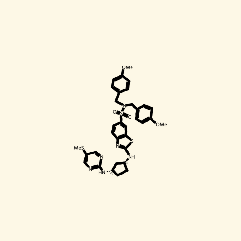 COc1ccc(CN(Cc2ccc(OC)cc2)S(=O)(=O)c2ccc3nc(N[C@H]4CC[C@H](Nc5ncc(SC)cn5)C4)sc3c2)cc1